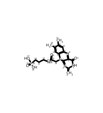 C=c1nc2c(c(=O)[nH]1)=Nc1cc(C)c(C)cc1N2CC(=O)NCCCP(=O)(O)O